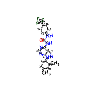 Cc1ccc(-n2ncc3c(NC(=O)Nc4ccc(C(F)(F)F)cc4)ncnc32)c(C)c1